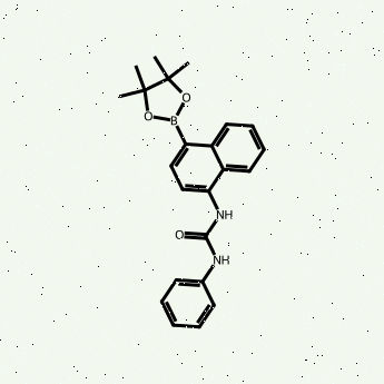 CC1(C)OB(c2ccc(NC(=O)Nc3ccccc3)c3ccccc23)OC1(C)C